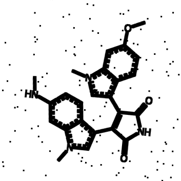 CNc1ccc2c(C3=C(c4cn(C)c5cc(OC)ccc45)C(=O)NC3=O)cn(C)c2c1